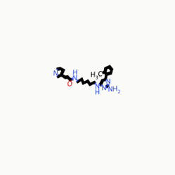 Cc1ccccc1-c1cc(NCCCCCCNC(=O)/C=C/c2cccnc2)nc(N)n1